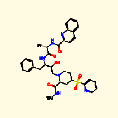 CC(C)[C@H](NC(=O)c1ccc2ccccc2n1)C(=O)NC(Cc1ccccc1)C(O)CN1CCC(S(=O)(=O)c2ccccn2)CC1C(=O)NC(C)(C)C